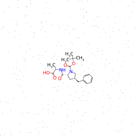 CC(NC(=O)[C@H]1C[C@H](Cc2ccccc2)CN1C(=O)OC(C)(C)C)C(=O)O